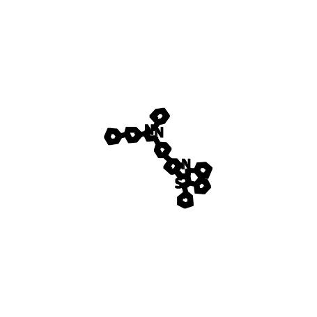 c1ccc(-c2ccc(-c3cc(-c4ccc(-c5ccc6c(c5)nc(-c5ccccc5)c5c(-c7ccccc7)c(-c7ccccc7)sc56)cc4)nc(-c4ccccc4)n3)cc2)cc1